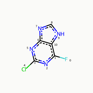 Fc1nc(Cl)nc2nc[nH]c12